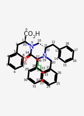 O=C(O)[C@H](Cc1ccccc1)N(C[C@H](Cc1ccccc1)N(Cc1ccccc1)Cc1ccccc1)C(=O)CCl